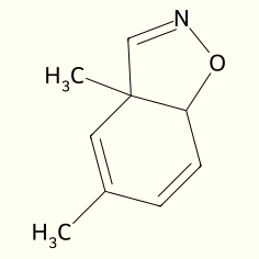 CC1=CC2(C)C=NOC2C=C1